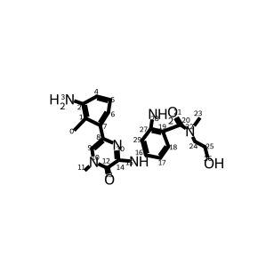 Cc1c(N)cccc1-c1cn(C)c(=O)c(Nc2ccc(C(=O)N(C)CCO)c(N)c2)n1